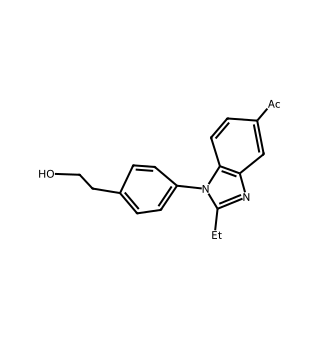 CCc1nc2cc(C(C)=O)ccc2n1-c1ccc(CCO)cc1